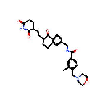 Cc1cc(C(=O)NCc2ccc3c(c2)CCC(CCC2CCC(=O)NC2=O)C3=O)ccc1CN1CCOCC1